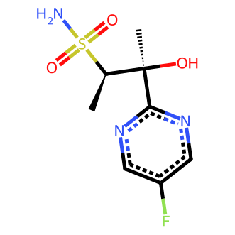 C[C@H]([C@@](C)(O)c1ncc(F)cn1)S(N)(=O)=O